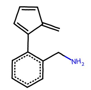 C=C1C=CC=C1c1ccccc1CN